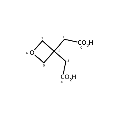 O=C(O)CC1(CC(=O)O)COC1